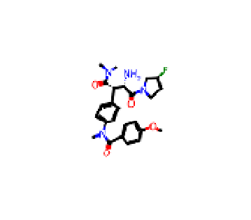 COc1ccc(C(=O)N(C)c2ccc([C@H](C(=O)N(C)C)[C@H](N)C(=O)N3CC[C@H](F)C3)cc2)cc1